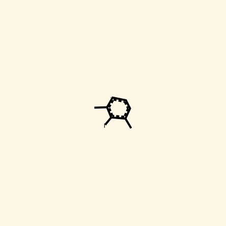 Cc1[c]ccc(C)c1I